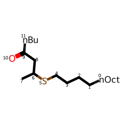 CCCCCCCCCCCCSC(C)CC(=O)CCCC